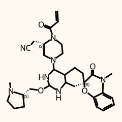 C=CC(=O)N1CCN(C2NC(OC[C@@H]3CCCN3C)NC3C[C@@]4(CCC32)Oc2ccccc2N(C)C4=O)C[C@@H]1CC#N